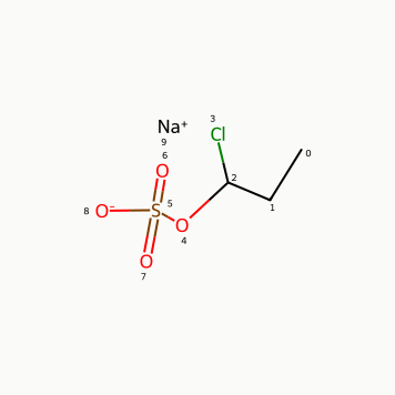 CCC(Cl)OS(=O)(=O)[O-].[Na+]